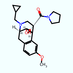 COc1ccc2c(c1)C13CCN(CC4CC4)[C@H](C2)[C@]1(O)C[C@@H](C(=O)N1CCCC1)C3